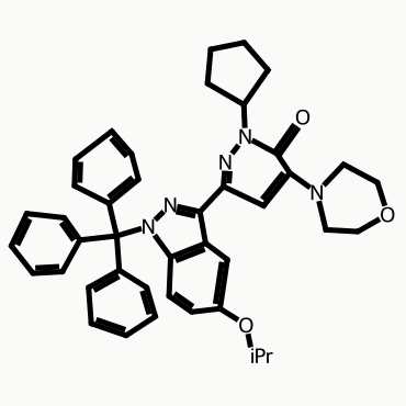 CC(C)Oc1ccc2c(c1)c(-c1cc(N3CCOCC3)c(=O)n(C3CCCC3)n1)nn2C(c1ccccc1)(c1ccccc1)c1ccccc1